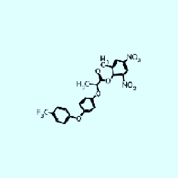 Cc1cc([N+](=O)[O-])cc([N+](=O)[O-])c1OC(=O)C(C)Oc1ccc(Oc2ccc(C(F)(F)F)cc2)cc1